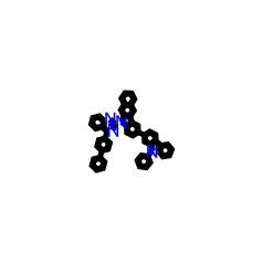 c1ccc(-c2ccc(-c3nc(-n4c5ccc(-c6ccc7c8ccccc8n(-c8ccccc8)c7c6)cc5c5cc6ccccc6cc54)nc4ccccc34)cc2)cc1